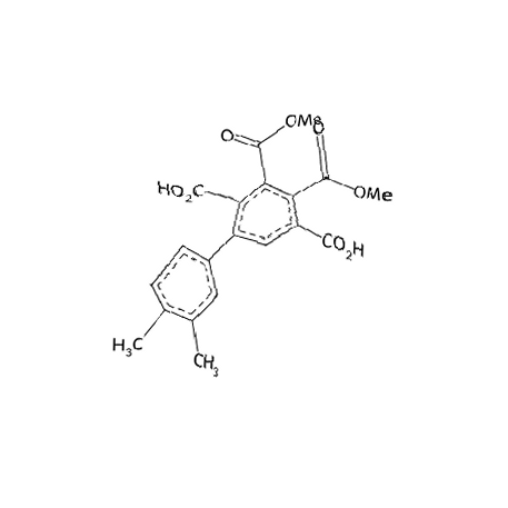 COC(=O)c1c(C(=O)O)cc(-c2ccc(C)c(C)c2)c(C(=O)O)c1C(=O)OC